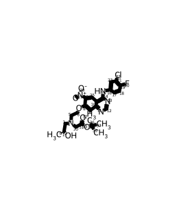 C[C@@H](O)CN(CCOc1cc2ncnc(Nc3ccc(F)c(Cl)c3)c2cc1[N+](=O)[O-])CC(=O)OC(C)(C)C